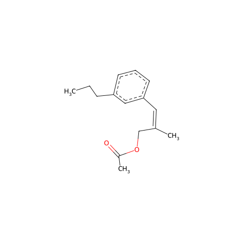 CCCc1cccc(C=C(C)COC(C)=O)c1